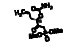 C=CC[C@H](OC(N)=O)C(=O)CP(=O)(OC)OC